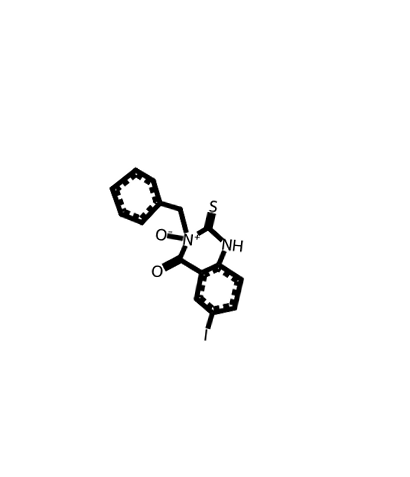 O=C1c2cc(I)ccc2NC(=S)[N+]1([O-])Cc1ccccc1